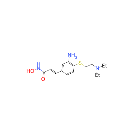 CCN(CC)CCSc1ccc(/C=C/C(=O)NO)cc1N